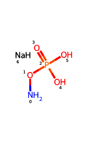 NOP(=O)(O)O.[NaH]